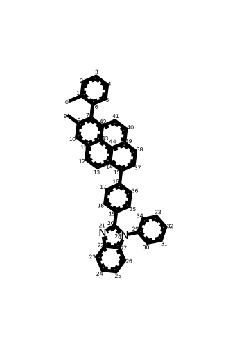 Cc1ccccc1-c1c(C)cc2ccc3c(-c4ccc(-c5nc6ccccc6n5-c5ccccc5)cc4)ccc4ccc1c2c43